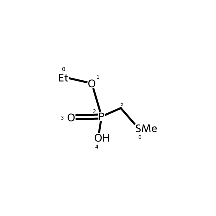 CCOP(=O)(O)CSC